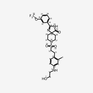 Cc1cc(NCCO)ccc1CCS(=O)(=O)N1CCC2(CC1)N=C(c1cccc(OC(F)(F)F)c1)NC2=O